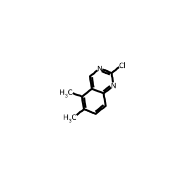 Cc1ccc2nc(Cl)ncc2c1C